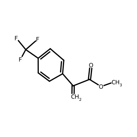 C=C(C(=O)OC)c1ccc(C(F)(F)F)cc1